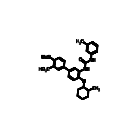 COc1ccc(-c2ccc(OC3CCCCC3C)c(NC(=O)Nc3cccc(C)c3)c2)cc1C(=O)O